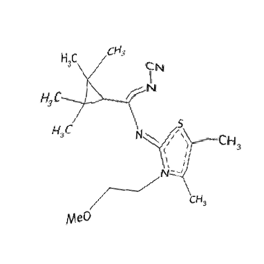 COCCn1c(C)c(C)sc1=NC(=NC#N)C1C(C)(C)C1(C)C